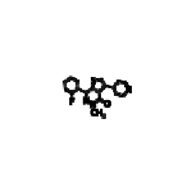 Cn1nc(-c2ccccc2F)c2scc(-c3ccncc3)c2c1=O